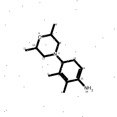 CC1=C(C)C(N2CC(C)OC(C)C2)CC=C1N